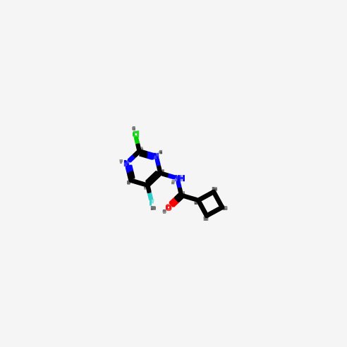 O=C(Nc1nc(Cl)ncc1F)C1CCC1